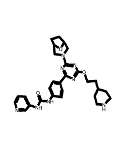 O=C(Nc1ccc(-c2nc(OCCC3CCNCC3)nc(N3CC4CCC(C3)O4)n2)cc1)Nc1cccnc1